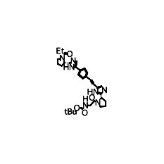 CCC(=O)N1CCC[C@H]1c1ncc(-c2ccc(C#Cc3cnc([C@@H]4CCCN4C(=O)CNC(=O)OC(C)(C)C)[nH]3)cc2)[nH]1